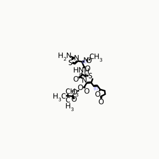 CO/N=C(\C(=O)N[C@@H]1C(=O)N2C(C(=O)OCOC(=O)C(C)(C)C)=C(/C=C/C3CCC(=O)O3)CS[C@@H]12)c1csc(N)n1